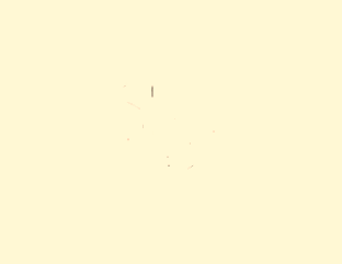 CCC(C)(Pc1ccccc1CO)c1cc(C)ccc1O